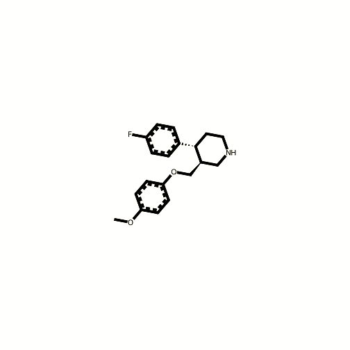 COc1ccc(OC[C@@H]2CNCC[C@H]2c2ccc(F)cc2)cc1